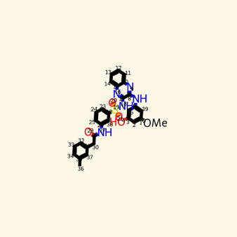 COc1cc(O)cc(Nc2nc3ccccc3nc2NS(=O)(=O)c2cccc(NC(=O)Cc3cccc(C)c3)c2)c1